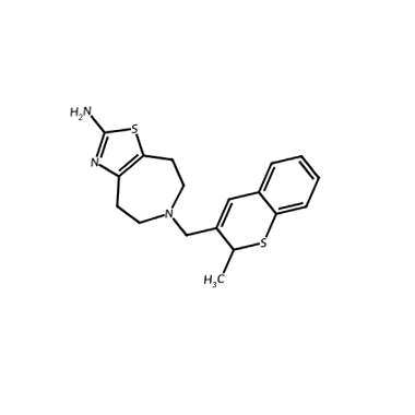 CC1Sc2ccccc2C=C1CN1CCc2nc(N)sc2CC1